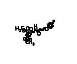 COC(=O)[C@@H]1C[C@@H](S(C)(=O)=O)CN1C(=O)CNC(=O)CCCOc1ccc(F)cc1